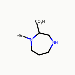 CC(C)(C)N1CCCNCC1C(=O)O